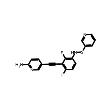 Nc1ccc(C#Cc2c(F)ccc(NSc3cccnc3)c2F)cn1